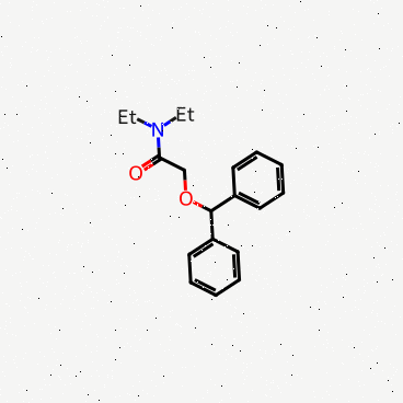 CCN(CC)C(=O)COC(c1ccccc1)c1ccccc1